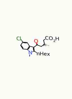 CCCCCCc1c(C(=O)C[C@@H](C)CC(=O)O)c2cc(Cl)ccc2n1C